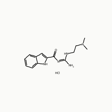 CN(C)CCNC(N)=NC(=O)c1cc2ccccc2[nH]1.Cl